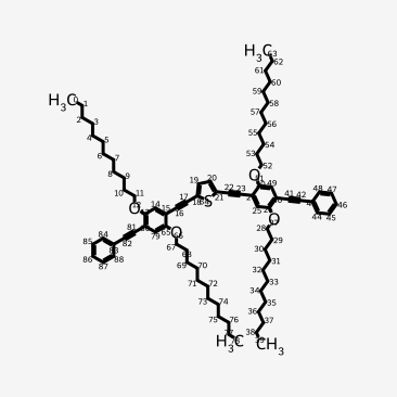 CCCCCCCCCCCCOc1cc(C#Cc2ccc(C#Cc3cc(OCCCCCCCCCCCC)c(C#Cc4ccccc4)cc3OCCCCCCCCCCCC)s2)c(OCCCCCCCCCCCC)cc1C#Cc1ccccc1